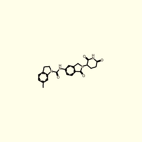 Cc1ccc2c(c1)N(C(=O)Nc1ccc3c(c1)CN(C1CCC(=O)NC1=O)C3=O)CC2